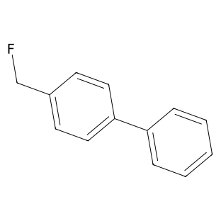 FCc1ccc(-c2ccccc2)cc1